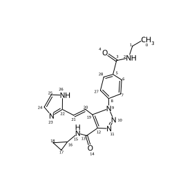 CCNC(=O)c1ccc(-n2nnc(C(=O)NC3CC3)c2/C=C/c2ncc[nH]2)cc1